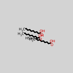 CCCCCCCCCC(=O)O.CCCCCCCCCC(=O)O.CCCCCCCCCC(=O)O.CCCCC[CH2][SnH]